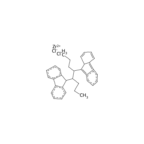 CCCC(C1=c2ccccc2=C2C=CC=CC21)C(CCC)C1c2ccccc2-c2ccccc21.[Cl-].[Cl-].[Zr+2]